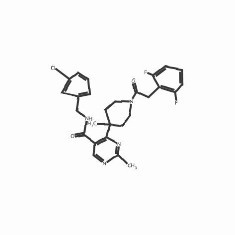 Cc1ncc(C(=O)NCc2cccc(Cl)c2)c(C2(C)CCN(C(=O)Cc3c(F)cccc3F)CC2)n1